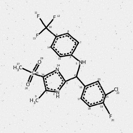 Cc1[nH]c(C(Nc2ccc(C(F)(F)F)cc2)c2ccc(F)c(Cl)c2)nc1S(C)(=O)=O